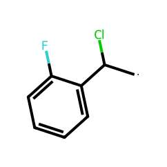 [CH2]C(Cl)c1ccccc1F